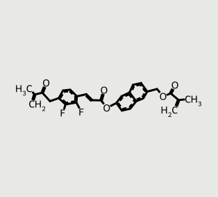 C=C(C)C(=O)Cc1ccc(/C=C/C(=O)Oc2ccc3cc(COC(=O)C(=C)C)ccc3c2)c(F)c1F